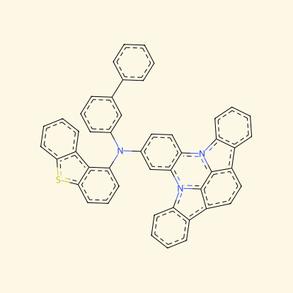 c1ccc(-c2cccc(N(c3ccc4c(c3)n3c5ccccc5c5ccc6c7ccccc7n4c6c53)c3cccc4sc5ccccc5c34)c2)cc1